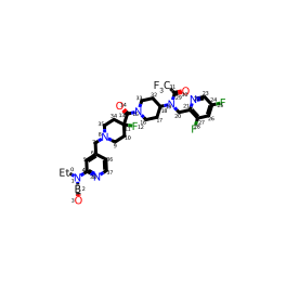 CCN(B=O)c1cc(CN2CCC(F)(C(=O)N3CCC(N(Cc4ncc(F)cc4F)C(=O)C(F)(F)F)CC3)CC2)ccn1